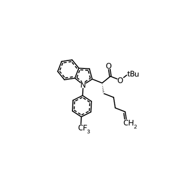 C=CCCC[C@@H](C(=O)OC(C)(C)C)c1cc2ccccc2n1-c1ccc(C(F)(F)F)cc1